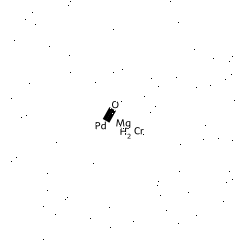 [Cr].[MgH2].[O]=[Pd]